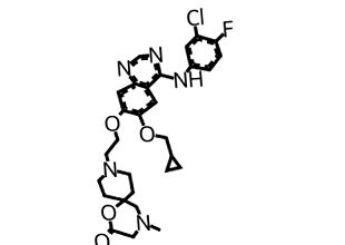 CN1CC(=O)OC2(CCN(CCOc3cc4ncnc(Nc5ccc(F)c(Cl)c5)c4cc3OCC3CC3)CC2)C1